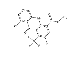 COC(=O)c1cc(F)c(C(F)(F)F)cc1Nc1cccc(Cl)c1C=O